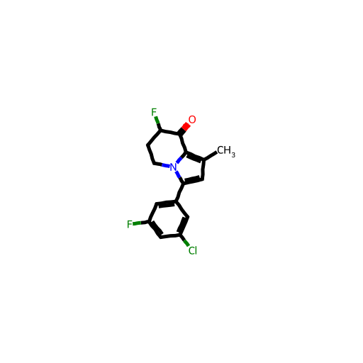 Cc1cc(-c2cc(F)cc(Cl)c2)n2c1C(=O)C(F)CC2